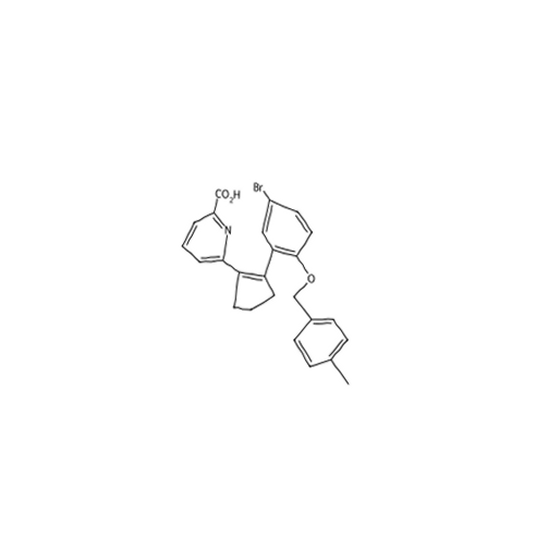 Cc1ccc(COc2ccc(Br)cc2C2=C(c3cccc(C(=O)O)n3)CCC2)cc1